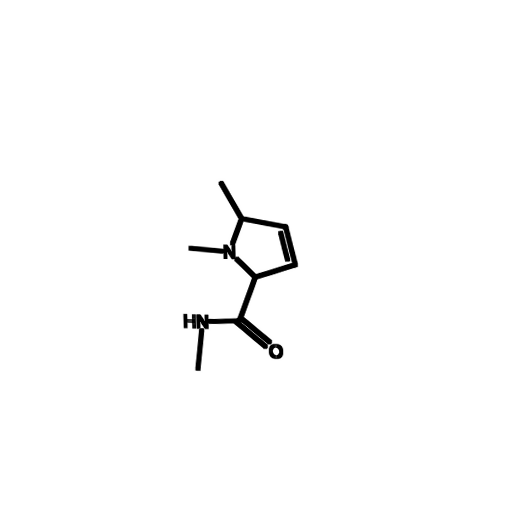 CNC(=O)C1C=CC(C)N1C